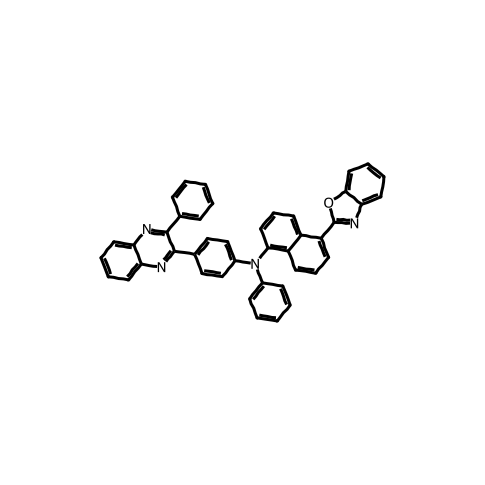 c1ccc(-c2nc3ccccc3nc2-c2ccc(N(c3ccccc3)c3cccc4c(-c5nc6ccccc6o5)cccc34)cc2)cc1